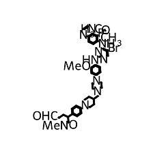 CNC(=O)C(CCC=O)c1ccc(N2CCC(CN3CCN(c4ccc(Nc5ncc(Br)c(Nc6ccc7nccnc7c6P(C)(C)=O)n5)c(OC)c4)CC3)CC2)cc1